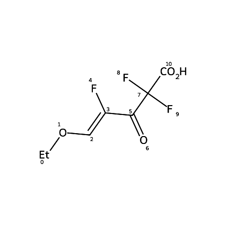 CCOC=C(F)C(=O)C(F)(F)C(=O)O